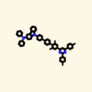 Cc1ccc(-c2cc(-c3cc(C)c(-c4ccc(-c5ccc(-n6c7ccccc7c7cc(N(c8ccccc8)c8ccccc8)ccc76)cc5)cc4)c(C)c3)nc(-c3ccc(C)cc3)n2)cc1